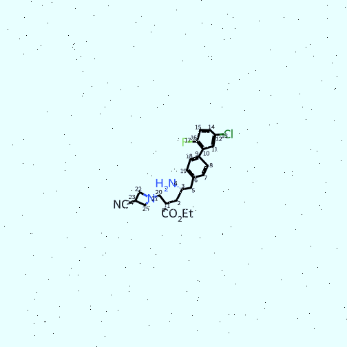 CCOC(=O)[C@@H](C[C@H](N)Cc1ccc(-c2cc(Cl)ccc2F)cc1)CN1CC(C#N)C1